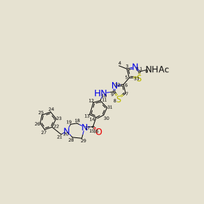 CC(=O)Nc1nc(C)c(-c2csc(Nc3ccc(C(=O)N4CCN(Cc5ccccc5)CC4)cc3)n2)s1